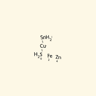 S.[Cu].[Fe].[SnH2].[Zn]